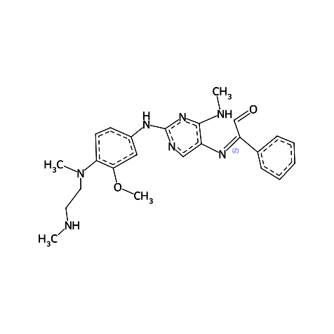 CNCCN(C)c1ccc(Nc2ncc(/N=C(\C=O)c3ccccc3)c(NC)n2)cc1OC